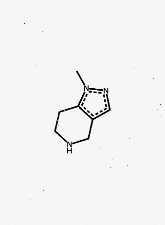 Cn1ncc2c1CCNC2